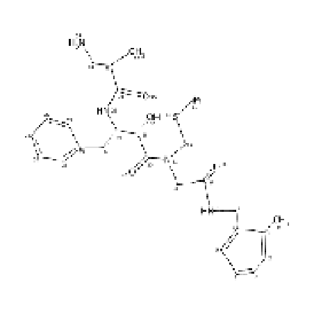 Cc1ccccc1CNC(=O)CN(CSC(C)C)C(=O)[C@@H](O)[C@H](Cc1ccccc1)NC(=O)C(C)CN